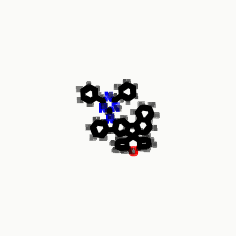 c1ccc(-c2nc(-c3ccccc3)nc(-n3c4ccccc4c4cc5c(cc43)-c3c(ccc4ccccc34)C53c4ccccc4Oc4ccccc43)n2)cc1